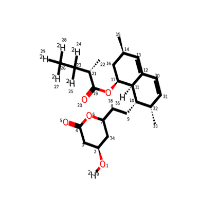 [2H]O[C@H]1CC(=O)OC(CC[C@@H]2[C@@H]3C(=C[C@H](C)C[C@@H]3OC(=O)[C@@H](C)C([2H])([2H])C([2H])([2H])[2H])C=C[C@@H]2C)C1